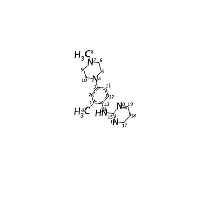 Cc1cc(N2CCN(C)CC2)ccc1NC1=NCCC=N1